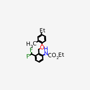 CCOC(=O)Nc1cccc(C(F)F)c1COc1ccc(CC)cc1C